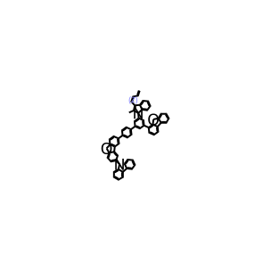 C=C/C=C\c1c(C)n(-c2cc(-c3ccc(-c4ccc5oc6ccc(-n7c8ccccc8c8ccccc87)cc6c5c4)cc3)cc(-c3cccc4c3oc3ccccc34)c2)c2ccccc12